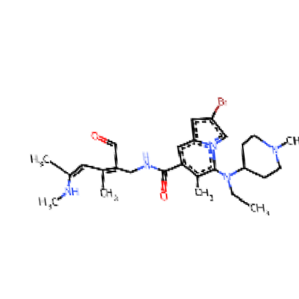 CCN(c1c(C)c(C(=O)NC/C(C=O)=C(C)/C=C(/C)NC)cc2cc(Br)cn12)C1CCN(C)CC1